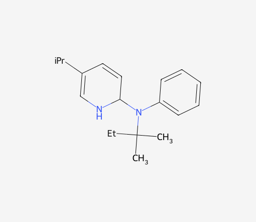 CCC(C)(C)N(c1ccccc1)C1C=CC(C(C)C)=CN1